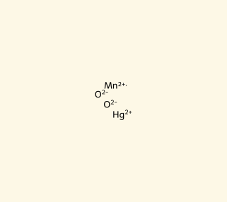 [Hg+2].[Mn+2].[O-2].[O-2]